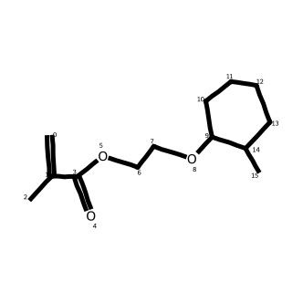 C=C(C)C(=O)OCCOC1CCCCC1C